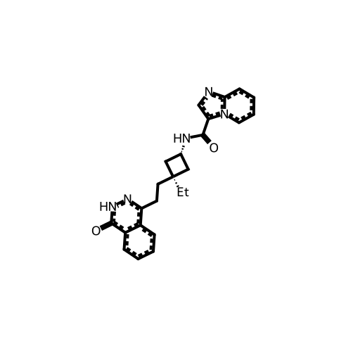 CC[C@]1(CCc2n[nH]c(=O)c3ccccc23)C[C@H](NC(=O)c2cnc3ccccn23)C1